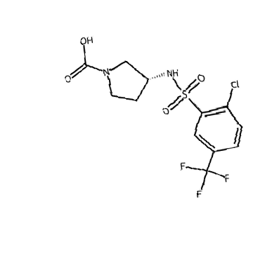 O=C(O)N1CC[C@@H](NS(=O)(=O)c2cc(C(F)(F)F)ccc2Cl)C1